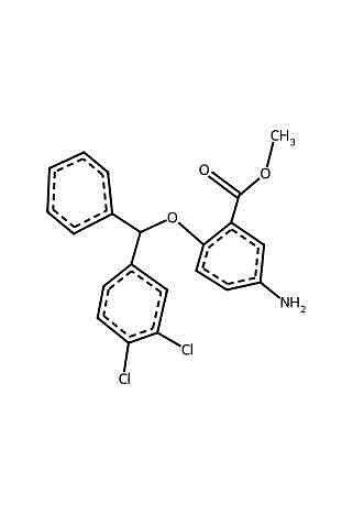 COC(=O)c1cc(N)ccc1OC(c1ccccc1)c1ccc(Cl)c(Cl)c1